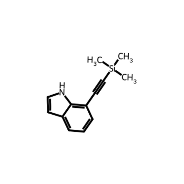 C[Si](C)(C)C#Cc1cccc2cc[nH]c12